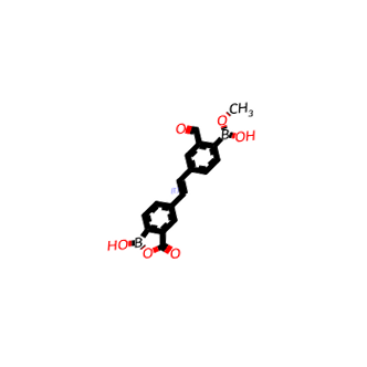 COB(O)c1ccc(/C=C/c2ccc3c(c2)C(=O)OB3O)cc1C=O